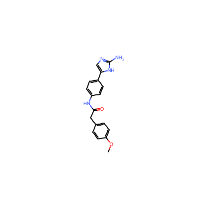 COc1ccc(CC(=O)Nc2ccc(-c3cnc(N)[nH]3)cc2)cc1